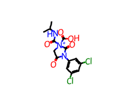 CC(C)NC(=O)[N+]1(C(=O)O)CC(=O)N(c2cc(Cl)cc(Cl)c2)C1=O